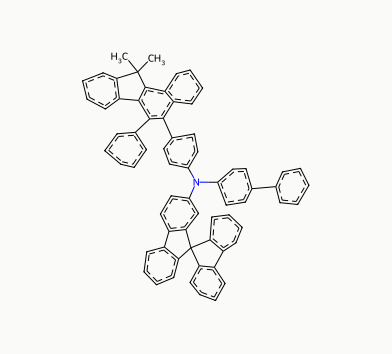 CC1(C)c2ccccc2-c2c(-c3ccccc3)c(-c3ccc(N(c4ccc(-c5ccccc5)cc4)c4ccc5c(c4)C4(c6ccccc6-c6ccccc64)c4ccccc4-5)cc3)c3ccccc3c21